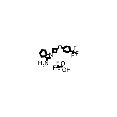 Nc1cn([C@H]2C[C@H](Oc3ccc(C(F)(F)F)cc3)C2)c2ccccc12.O=C(O)C(F)(F)F